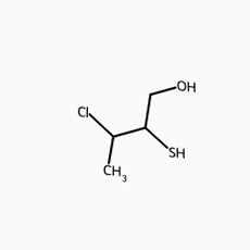 CC(Cl)C(S)CO